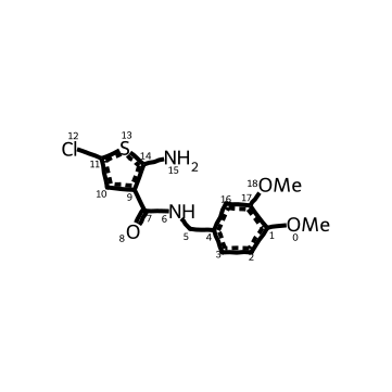 COc1ccc(CNC(=O)c2cc(Cl)sc2N)cc1OC